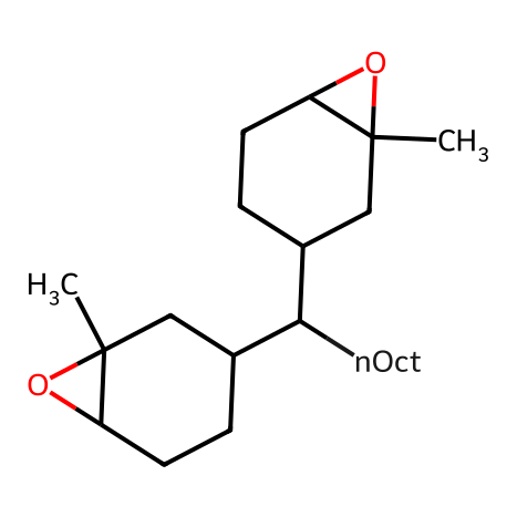 CCCCCCCCC(C1CCC2OC2(C)C1)C1CCC2OC2(C)C1